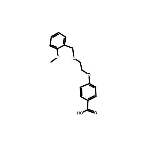 COc1ccccc1COCCOc1ccc(C(=O)O)cc1